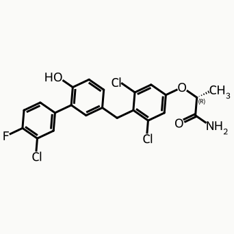 C[C@@H](Oc1cc(Cl)c(Cc2ccc(O)c(-c3ccc(F)c(Cl)c3)c2)c(Cl)c1)C(N)=O